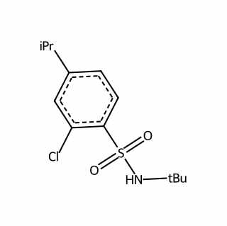 CC(C)c1ccc(S(=O)(=O)NC(C)(C)C)c(Cl)c1